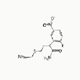 N#CCSCC[C](C(N)=O)c1cc([N+](=O)[O-])ccc1F